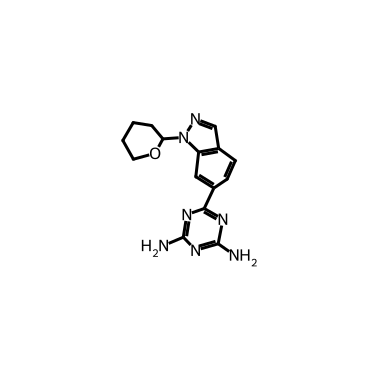 Nc1nc(N)nc(-c2ccc3cnn(C4CCCCO4)c3c2)n1